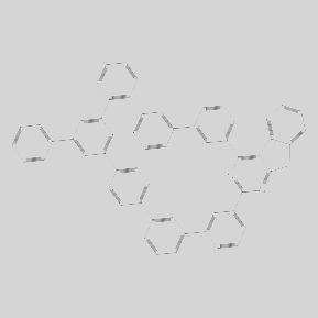 c1ccc(-c2cc(-c3ccccc3)cc(-c3ccc(-c4cccc(-c5cccc(-c6nc(-c7cccc(-c8ccccc8)c7)c7c(n6)oc6ccccc67)c5)c4)cc3)c2)cc1